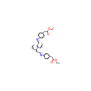 C\C=C/C(=C/C=N/c1ccc(CC(=O)OCC)cc1)C(/C=C\C)=C/C=N/c1ccc(CC(=O)OCC)cc1